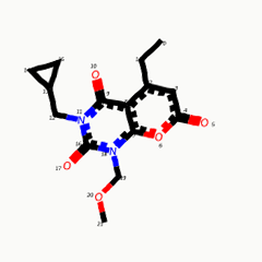 CCc1cc(=O)oc2c1c(=O)n(CC1CC1)c(=O)n2COC